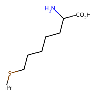 CC(C)SCCCCCC(N)C(=O)O